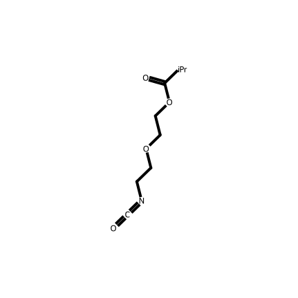 CC(C)C(=O)OCCOCCN=C=O